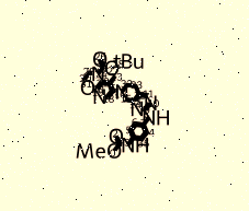 COC(=O)Nc1ccc(Nc2ncc3c(n2)CN(c2cnc4c(c2C)N(C(=O)OC(C)(C)C)CCO4)CC3)cc1